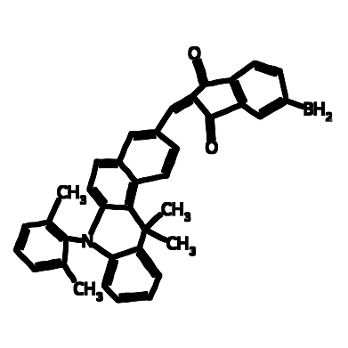 Bc1ccc2c(c1)C(=O)/C(=C\c1ccc3c4c(ccc3c1)N(c1c(C)cccc1C)c1ccccc1C4(C)C)C2=O